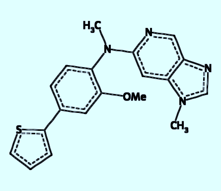 COc1cc(-c2cccs2)ccc1N(C)c1cc2c(cn1)ncn2C